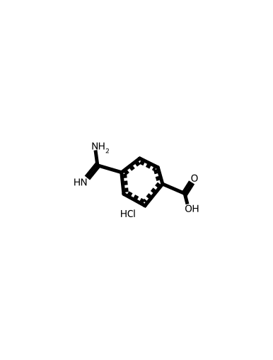 Cl.N=C(N)c1ccc(C(=O)O)cc1